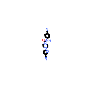 N#Cc1ccc(NC(=O)N2CCN(c3ccc(C#N)cn3)CC2)cc1